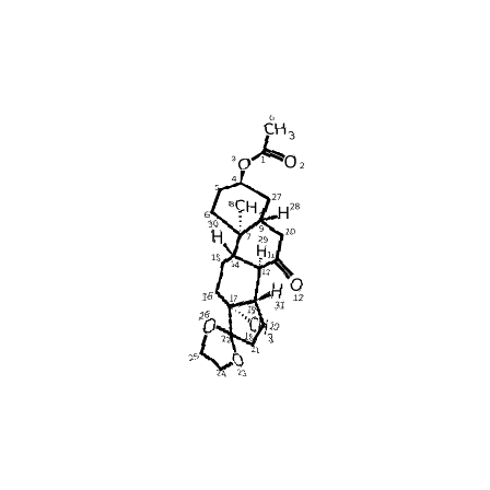 CC(=O)O[C@@H]1CC[C@@]2(C)[C@@H](CC(=O)[C@@H]3[C@@H]2CC[C@@]2(C)[C@H]3CCC23OCCO3)C1